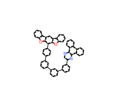 c1cc(-c2ccc(-c3c4oc5ccccc5c4cc4c3oc3ccccc34)cc2)cc(-c2cccc(-c3cccc(-c4cnc5c6ccccc6c6ccccc6c5n4)c3)c2)c1